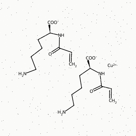 C=CC(=O)N[C@@H](CCCCN)C(=O)[O-].C=CC(=O)N[C@@H](CCCCN)C(=O)[O-].[Cu+2]